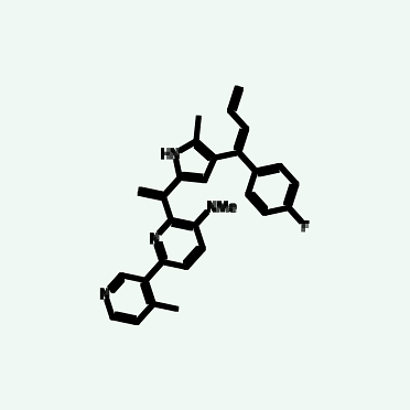 C=C/C=C(/c1ccc(F)cc1)c1cc(C(=C)c2nc(-c3cnccc3C)ccc2NC)[nH]c1C